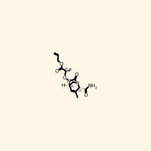 C=CCOC(=O)[C@@H](F)ON1C(=O)N2C[C@H]1C=C(C)[C@H]2C(N)=O